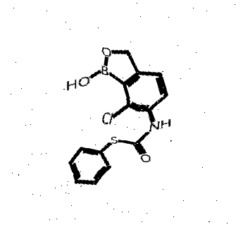 O=C(Nc1ccc2c(c1Cl)B(O)OC2)Sc1ccccc1